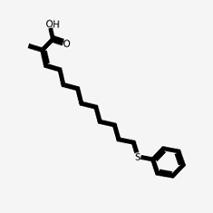 CC(=CCCCCCCCCCSc1ccccc1)C(=O)O